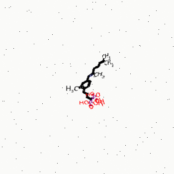 CC(C)=CCC/C(C)=C/c1ccc(CCCC(P(=O)(O)O)P(=O)(O)O)c(C)c1